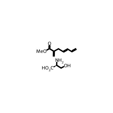 C=CC=CCC(=C)C(=O)OC.N[C@@H](CO)C(=O)O